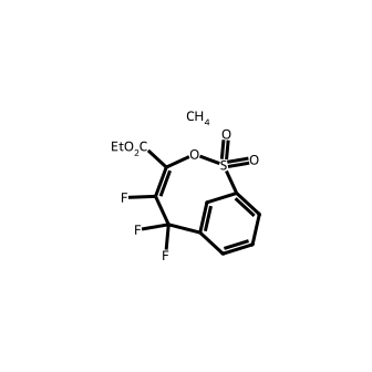 C.CCOC(=O)C1=C(F)C(F)(F)c2cccc(c2)S(=O)(=O)O1